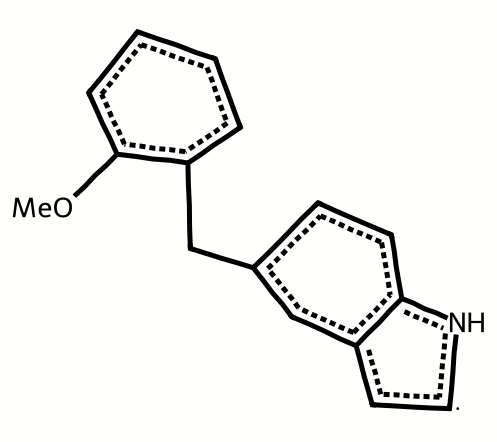 COc1ccccc1Cc1ccc2[nH][c]cc2c1